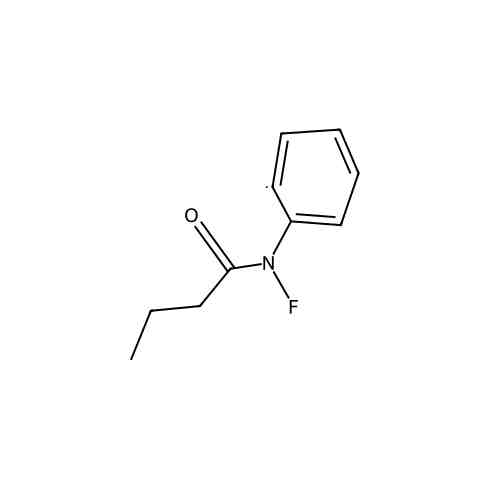 CCCC(=O)N(F)c1[c]cccc1